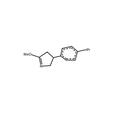 CCCc1ccc(C2CN=C(OC)C2)cc1